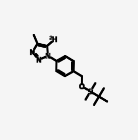 [2H]c1c(C)nnn1-c1ccc(CO[Si](C)(C)C(C)(C)C)cc1